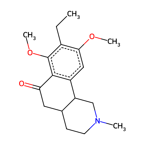 CCc1c(OC)cc2c(c1OC)C(=O)CC1CCN(C)CC21